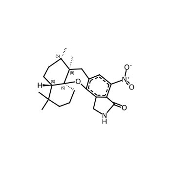 C[C@H]1CC[C@H]2C(C)(C)CCC[C@]23Oc2c(cc([N+](=O)[O-])c4c2CNC4=O)C[C@]13C